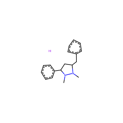 CN1C(Cc2ccccc2)CC(c2ccccc2)N1C.I